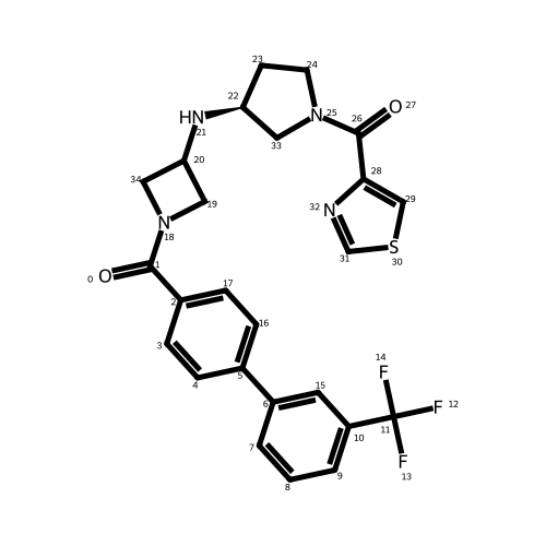 O=C(c1ccc(-c2cccc(C(F)(F)F)c2)cc1)N1CC(N[C@H]2CCN(C(=O)c3cscn3)C2)C1